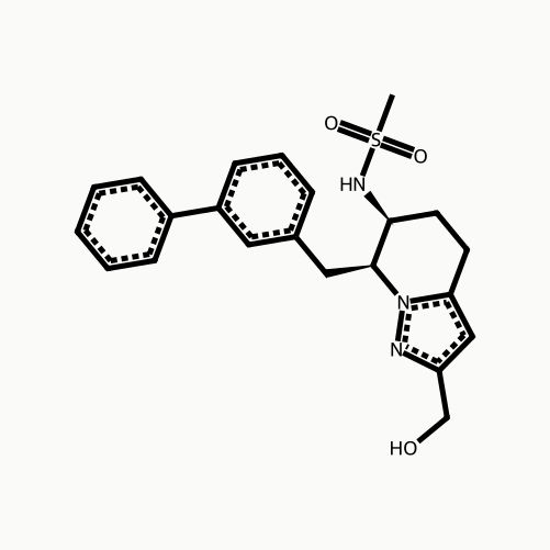 CS(=O)(=O)N[C@H]1CCc2cc(CO)nn2[C@H]1Cc1cccc(-c2ccccc2)c1